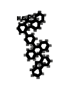 CC1(C)c2cccc(-c3ccc(-c4c5ccccc5c(-c5cccc6c5sc5ccccc56)c5ccccc45)cc3)c2-c2ccc3ccccc3c21